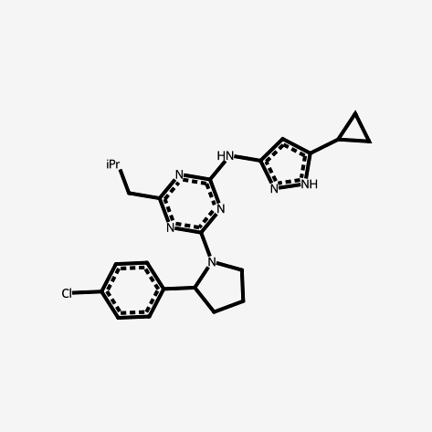 CC(C)Cc1nc(Nc2cc(C3CC3)[nH]n2)nc(N2CCCC2c2ccc(Cl)cc2)n1